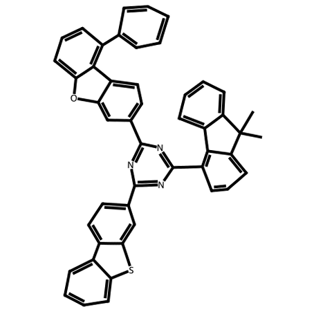 CC1(C)c2ccccc2-c2c(-c3nc(-c4ccc5c(c4)oc4cccc(-c6ccccc6)c45)nc(-c4ccc5c(c4)sc4ccccc45)n3)cccc21